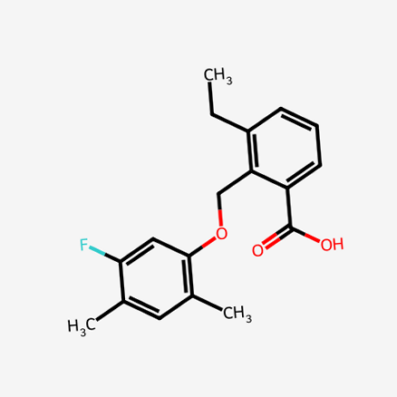 CCc1cccc(C(=O)O)c1COc1cc(F)c(C)cc1C